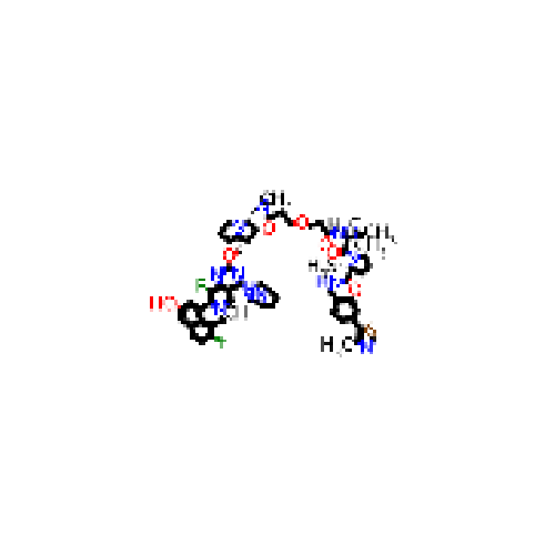 C#Cc1c(F)ccc2cc(O)cc(-c3ncc4c(N5CC6CCC(C5)N6)nc(OC[C@]56CCCN5[C@H](CN(C)C(=O)CCOCCC(=O)N[C@H](C(=O)N5CCC[C@@]5([SiH3])C(=O)NCc5ccc(-c7scnc7C)cc5)C(C)(C)C)CC6)nc4c3F)c12